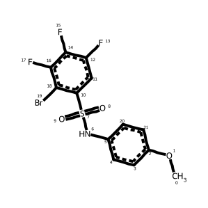 COc1ccc(NS(=O)(=O)c2cc(F)c(F)c(F)c2Br)cc1